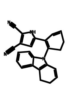 N#Cc1cc(C2=C(n3c4c(c5ccccc53)CCC=C4)CCC=C2)[nH]c1C#N